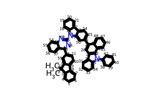 CC1(C)c2ccccc2-c2ccc(-c3nc(-n4c5ccccc5c5ccc(-c6cc7c8ccccc8n(-c8ccccc8)c7c7ccccc67)cc54)nc4ccccc34)cc21